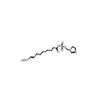 CCCCCCCCC=CCCCCCCCC(=O)OS(=O)(=O)OCN1C=NCC1